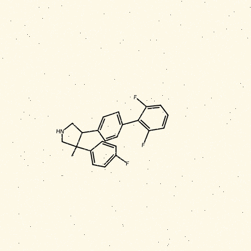 CC1(c2ccc(F)cc2)CNCC1c1ccc(-c2c(F)cccc2F)cc1